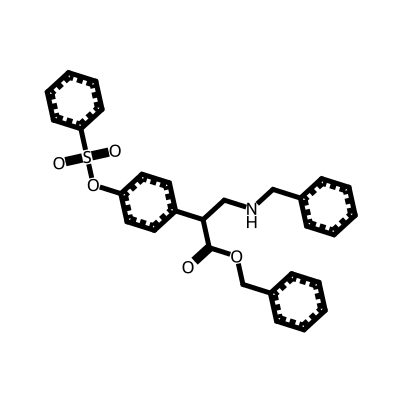 O=C(OCc1ccccc1)C(CNCc1ccccc1)c1ccc(OS(=O)(=O)c2ccccc2)cc1